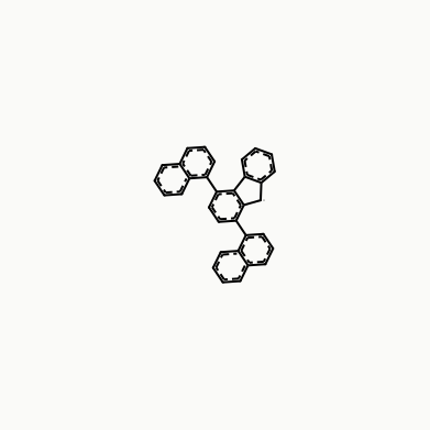 [CH]1c2ccccc2-c2c(-c3cccc4ccccc34)ccc(-c3cccc4ccccc34)c21